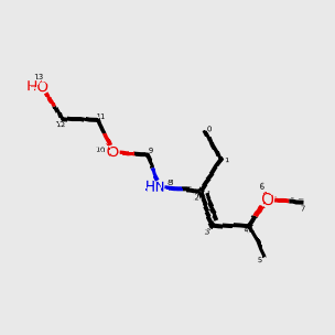 CC/C(=C\C(C)OC)NCOCCO